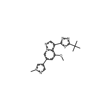 COc1cc(-c2cnn(C)c2)cn2ncc(-c3nnc(C(C)(C)C)s3)c12